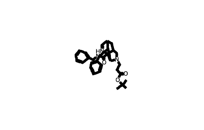 CC(C)(C)OC(=O)CCN1CC2CC3C=NC2(C(=O)NCc2ccccc2)C1C3Cc1ccccc1